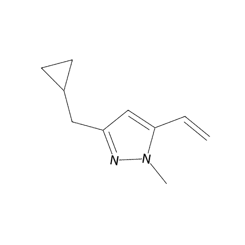 C=Cc1cc(CC2CC2)nn1C